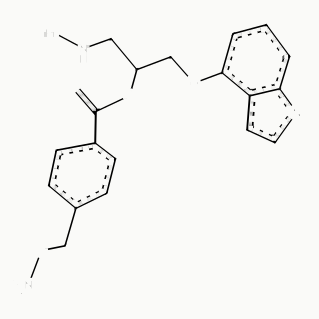 CC(C)NCC(COc1cccc2[nH]ccc12)OC(=O)c1ccc(CO[N+](=O)[O-])cc1